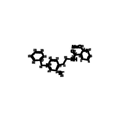 COc1ncccc1C(=O)NCCc1cc[n+](Cc2ccccc2)cc1.[Br-]